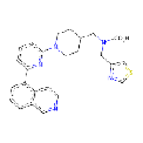 O=C(O)N(Cc1cscn1)CC1CCN(c2cccc(-c3cccc4cnccc34)n2)CC1